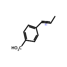 C/C=C/c1ccc(C(=O)O)cc1